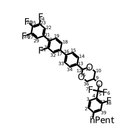 CCCCCc1ccc(C(F)(F)OC2COC(c3ccc(-c4ccc(-c5cc(F)c(F)c(F)c5)c(F)c4)cc3)OC2)c(F)c1